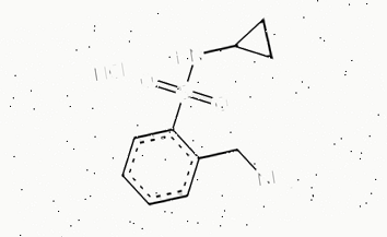 Cl.NCc1ccccc1S(=O)(=O)NC1CC1